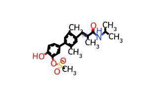 C/C(=C\c1cc(C)c(-c2ccc(O)c(OS(C)(=O)=O)c2)cc1C)C(=O)NC(C)C